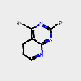 CC(C)c1nc2c(c(C(C)C)n1)CCC=N2